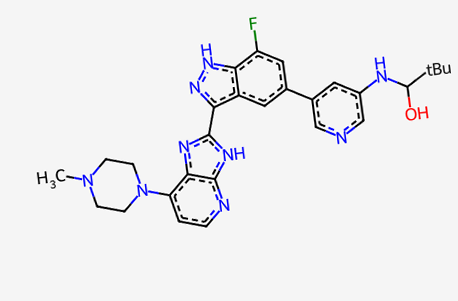 CN1CCN(c2ccnc3[nH]c(-c4n[nH]c5c(F)cc(-c6cncc(NC(O)C(C)(C)C)c6)cc45)nc23)CC1